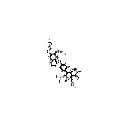 COCCOc1cc2nccc(Oc3ccc(-c4c(C)n(C)c(C)c(C(=O)N(F)F)c4=O)cc3)c2nc1OC